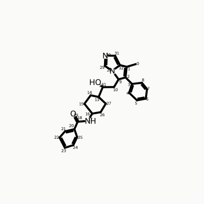 CC1=C(c2ccccc2)C(CC(O)C2CCC(NC(=O)c3ccccc3)CC2)n2cncc21